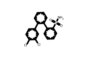 NS(=O)(=O)c1ccccc1-c1ccccc1-c1ccc(Cl)c(Cl)c1